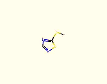 [CH2]Sc1ncns1